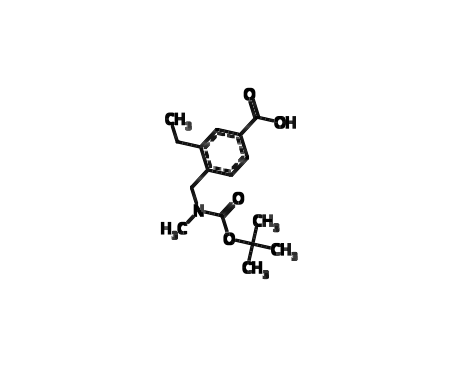 CCc1cc(C(=O)O)ccc1CN(C)C(=O)OC(C)(C)C